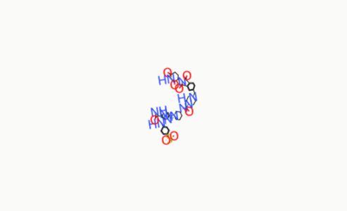 CS(=O)(=O)c1ccc(Nc2nc(N3CCC[C@@H](NC(=O)N4CCN(Cc5ccc6c(c5)C(=O)N(C5CCC(=O)NC5=O)C6=O)CC4)C3)cnc2C(N)=O)cc1